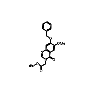 COc1cc2c(=O)n(CC(=O)OC(C)(C)C)cnc2cc1OCc1ccccc1